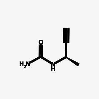 C#C[C@@H](C)NC(N)=O